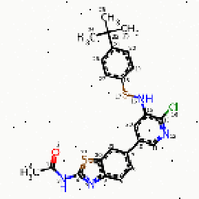 CC(=O)Nc1nc2ccc(-c3cnc(Cl)c(NSc4ccc(C(C)(C)C)cc4)c3)cc2s1